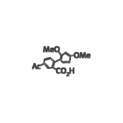 COc1ccc(-c2ccc(C(C)=O)cc2C(=O)O)c(OC)c1